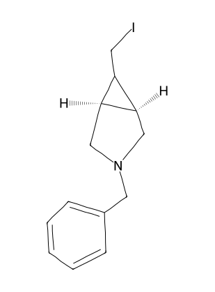 ICC1[C@H]2CN(Cc3ccccc3)C[C@@H]12